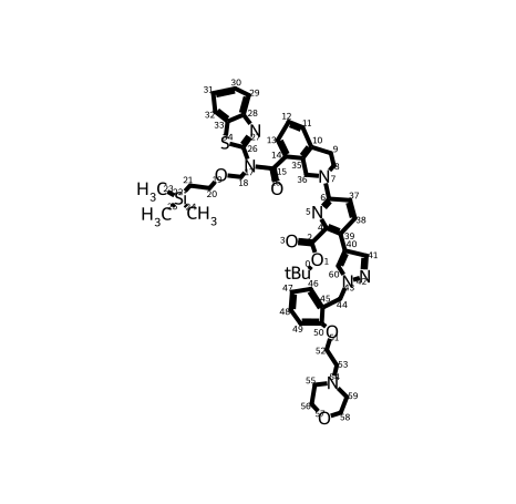 CC(C)(C)OC(=O)c1nc(N2CCc3cccc(C(=O)N(COCC[Si](C)(C)C)c4nc5ccccc5s4)c3C2)ccc1-c1cnn(Cc2ccccc2OCCN2CCOCC2)c1